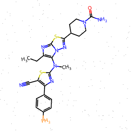 CCc1nc2sc(C3CCN(C(N)=O)CC3)nn2c1N(C)c1nc(-c2ccc(P)cc2)c(C#N)s1